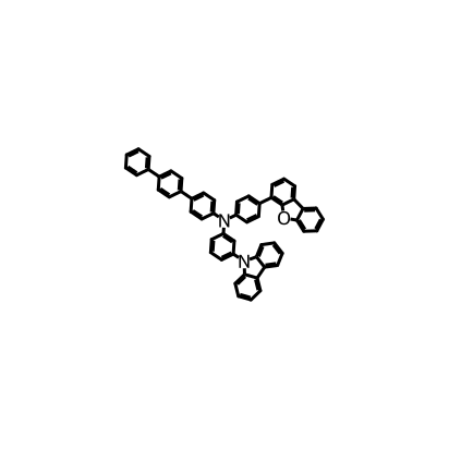 c1ccc(-c2ccc(-c3ccc(N(c4ccc(-c5cccc6c5oc5ccccc56)cc4)c4cccc(-n5c6ccccc6c6ccccc65)c4)cc3)cc2)cc1